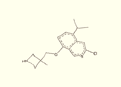 CC(C)c1ccc(OCC2(C)CNC2)c2cnc(Cl)cc12